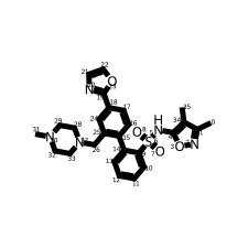 Cc1noc(NS(=O)(=O)c2ccccc2-c2ccc(-c3ncco3)cc2CN2CCN(C)CC2)c1C